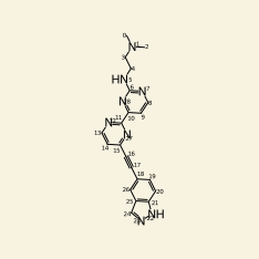 CN(C)CCNc1nccc(-c2nccc(C#Cc3ccc4[nH]ncc4c3)n2)n1